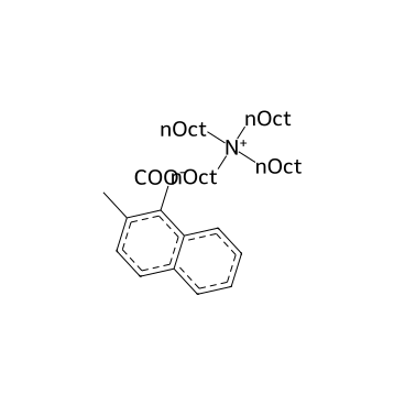 CCCCCCCC[N+](CCCCCCCC)(CCCCCCCC)CCCCCCCC.Cc1ccc2ccccc2c1C(=O)[O-]